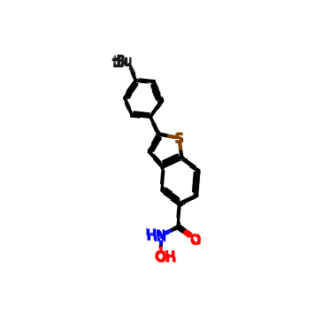 CC(C)(C)c1ccc(-c2cc3cc(C(=O)NO)ccc3s2)cc1